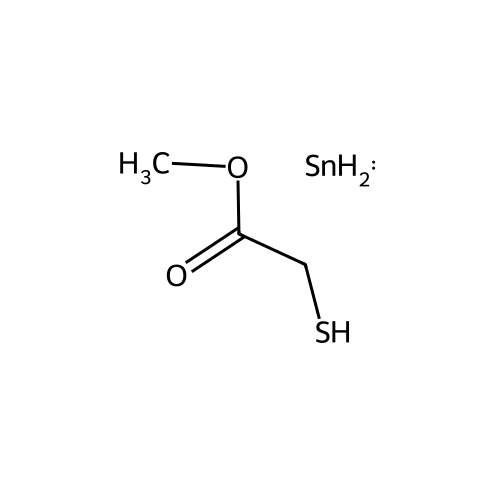 COC(=O)CS.[SnH2]